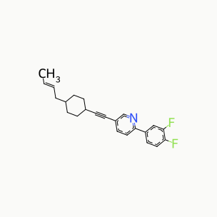 C/C=C/CC1CCC(C#Cc2ccc(-c3ccc(F)c(F)c3)nc2)CC1